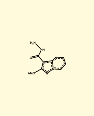 COc1nn2ccccc2c1C(=O)NN